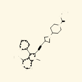 Cn1c(C#CC2CN(C3CCN(C(=O)OC(C)(C)C)CC3)C2)c(-c2ccccn2)c2c(N)ncnc21